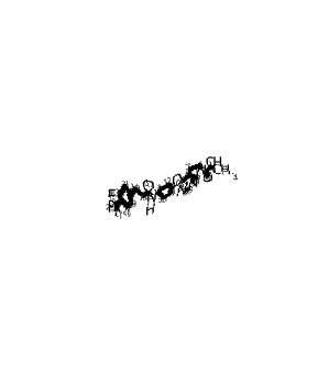 CC(C)C(=O)n1ccc2c(Oc3ccc(NC(=O)CCc4ccc(C(F)(F)F)cc4)cc3)ncnc21